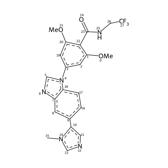 COc1cc(-n2cnc3cc(-c4cncn4C)ccc32)cc(OC)c1C(=O)NCC(F)(F)F